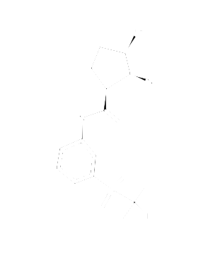 N[C@@H]1[C@H](O)CC[C@@H]1C(=O)Nc1cccc(S(=O)(=O)C(F)(F)F)c1